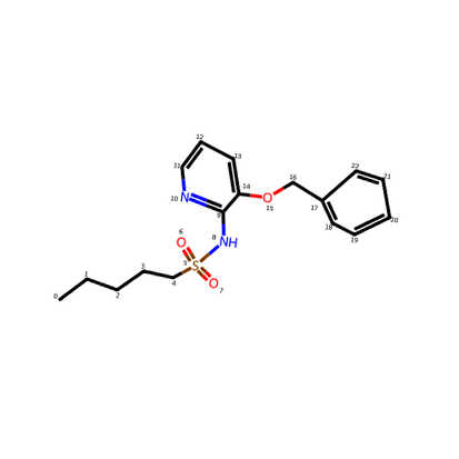 CCCCCS(=O)(=O)Nc1ncccc1OCc1ccccc1